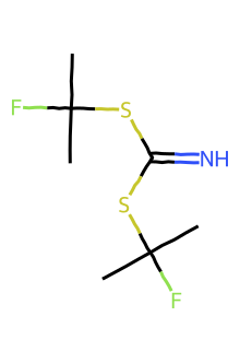 CC(C)(F)SC(=N)SC(C)(C)F